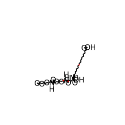 O=CCOCCOCCNC(=O)COCCOCCNC(=O)CCC(NC(=O)CCCCCCCCCCCCCCCCCCC(=O)O)C(=O)O